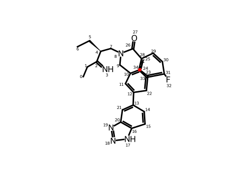 CCC(=N)[C@@H](CC)CN(Cc1cc(-c2ccc3[nH]nnc3c2)ccc1F)C(=O)c1ccc(F)cc1